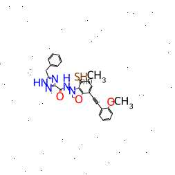 COc1ccccc1C#CC1=C[C@H](C)[C@H](S)C2=C1OCN2NC(=O)c1n[nH]c(Cc2ccccc2)n1